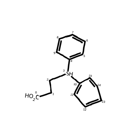 O=C(O)CC[SH](c1ccccc1)c1ccccc1